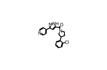 O=C(c1cc(-c2ccncc2)n[nH]1)N1CCC(c2ccccc2Cl)C1